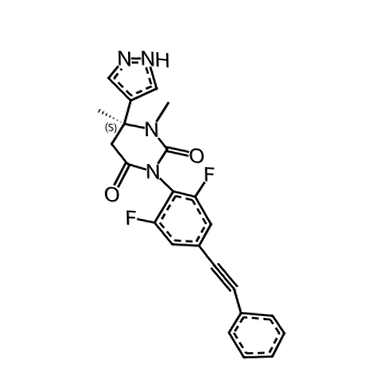 CN1C(=O)N(c2c(F)cc(C#Cc3ccccc3)cc2F)C(=O)C[C@@]1(C)c1cn[nH]c1